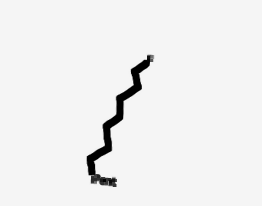 [CH2]CCC(C)CCCCCCCF